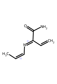 C=C/C(=N\C=C/C)C(N)=O